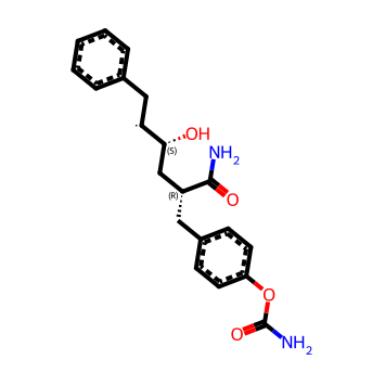 NC(=O)Oc1ccc(C[C@H](C[C@@H](O)[CH]Cc2ccccc2)C(N)=O)cc1